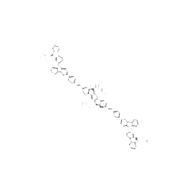 CC1(C)c2ccccc2-c2ccc(-n3c4ccccc4c4cc(-c5ccc(/C=C/c6ccc7c(c6)C(C)(C)c6cc8c(cc6-7)C(C)(C)c6cc(/C=C/c7ccc(-c9ccc%10c(c9)c9ccccc9n%10-c9ccc%10c(c9)C(C)(C)c9ccccc9-%10)cc7)ccc6-8)cc5)ccc43)cc21